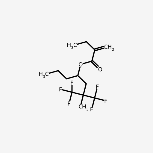 C=C(CC)C(=O)OC(CCC)CC(C)(C(F)(F)F)C(F)(F)F